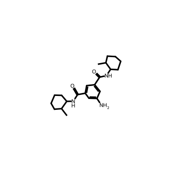 CC1CCCCC1NC(=O)c1cc(N)cc(C(=O)NC2CCCCC2C)c1